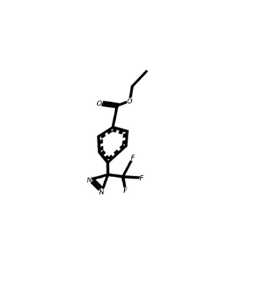 CCOC(=O)c1ccc(C2(C(F)(F)F)N=N2)cc1